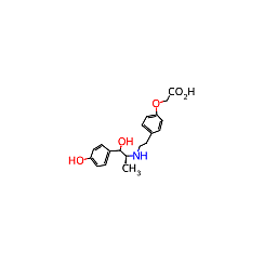 C[C@H](NCCc1ccc(OCC(=O)O)cc1)[C@H](O)c1ccc(O)cc1